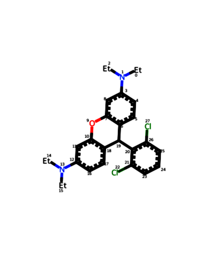 CCN(CC)c1ccc2c(c1)Oc1cc(N(CC)CC)ccc1C2c1c(Cl)cccc1Cl